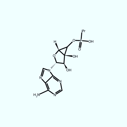 CC(C)P(=O)(O)OC1[C@H]2O[C@@H](n3cnc4c(N)ncnc43)[C@H](O)[C@@]12O